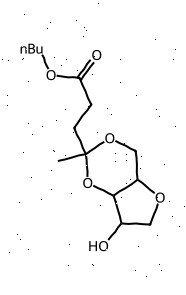 CCCCOC(=O)CCC1(C)OCC2OCC(O)C2O1